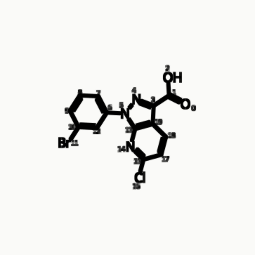 O=C(O)c1nn(-c2cccc(Br)c2)c2nc(Cl)ccc12